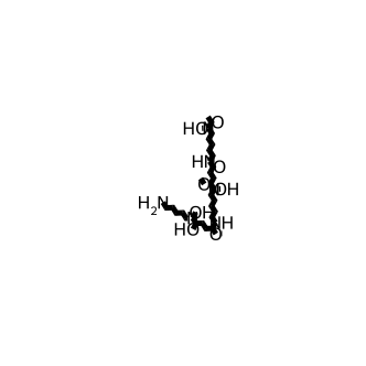 COC(CCC(O)N(O)CCCCCN)NCCCCCN(O)C(CCC(=O)NCCCCCN(O)C(C)=O)OC